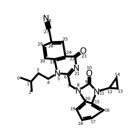 CC(C)CCn1c(Cn2c(=O)n(C3CC3)c3ccccc32)nc(=O)c2cc(C#N)ccc21